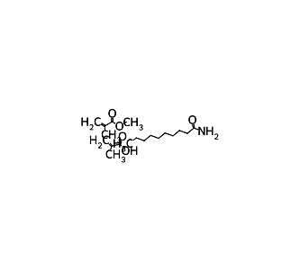 C=C(C)C(=O)O.C=C(C)C(=O)OC.CCCCCCCCCC(N)=O